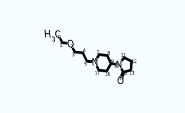 CCOCCCN1CCC(N2CCCC2=O)CC1